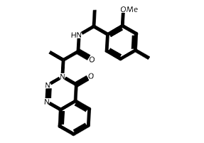 COc1cc(C)ccc1C(C)NC(=O)C(C)n1nnc2ccccc2c1=O